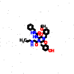 C=CCNCC(=O)N1[C@@H](NC(=O)NCc2ccccc2)CN(Cc2cccc(OC)c2O)C(=O)[C@@H]1Cc1ccc(O)cc1